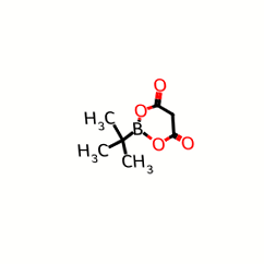 CC(C)(C)B1OC(=O)CC(=O)O1